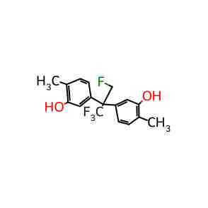 Cc1ccc(C(CF)(c2ccc(C)c(O)c2)C(F)(F)F)cc1O